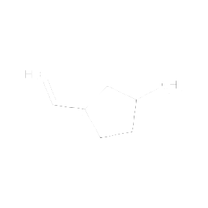 C=CC1CCC(C)C1